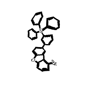 Brc1cccc2oc3ccc(-c4cccc([Si](c5ccccc5)(c5ccccc5)c5ccccc5)c4)cc3c12